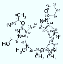 CC(C#N)Oc1nn(CCO)c2c1/C=C\c1nn(C3CCCCO3)c3cc(F)c(cc13)-c1cnn(C)c1O[C@@H](C)CN(C)C2